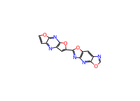 c1nc2cc3oc(-c4cc5nc6ccoc6nc5o4)nc3nc2o1